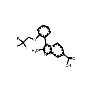 Cc1nc2cc(C(=O)O)ccn2c1-c1ccccc1OCC(F)(F)F